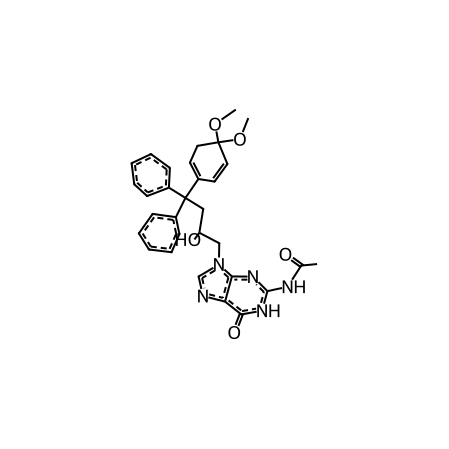 COC1(OC)C=CC(C(CC(O)Cn2cnc3c(=O)[nH]c(NC(C)=O)nc32)(c2ccccc2)c2ccccc2)=CC1